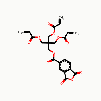 C=CC(=O)OCC(COC(=O)C=C)(COC(=O)C=C)COC(=O)c1ccc2c(c1)C(=O)OC2=O